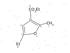 CCOC(=O)c1cc(CC)oc1C